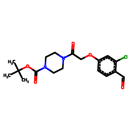 CC(C)(C)OC(=O)N1CCN(C(=O)COc2ccc(C=O)c(Cl)c2)CC1